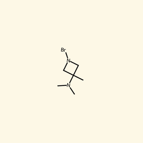 CN(C)C1(C)CN(Br)C1